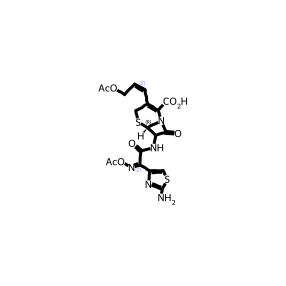 CC(=O)OC/C=C\C1=C(C(=O)O)N2C(=O)C(NC(=O)/C(=N\OC(C)=O)c3csc(N)n3)[C@H]2SC1